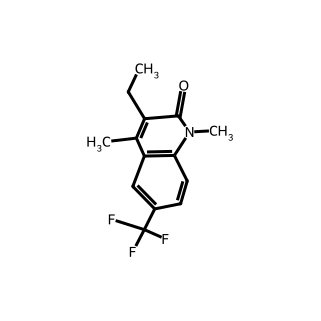 CCc1c(C)c2cc(C(F)(F)F)ccc2n(C)c1=O